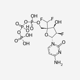 Nc1ccn([C@@H]2O[C@](COP(=O)(O)OP(=O)(O)OP(=O)(O)O)(C(F)F)[C@@H](O)[C@H]2F)c(=O)n1